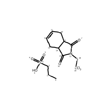 CCCS(=O)(=O)O.O=C1C2CC=CCC2C(=O)N1SC(Cl)(Cl)Cl